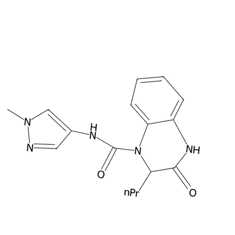 CCCC1C(=O)Nc2ccccc2N1C(=O)Nc1cnn(C)c1